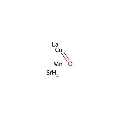 [La].[Mn].[O]=[Cu].[SrH2]